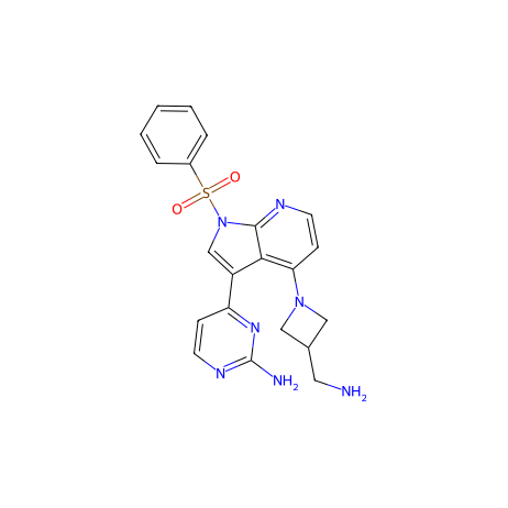 NCC1CN(c2ccnc3c2c(-c2ccnc(N)n2)cn3S(=O)(=O)c2ccccc2)C1